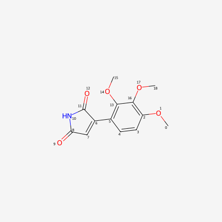 COc1ccc(C2=CC(=O)NC2=O)c(OC)c1OC